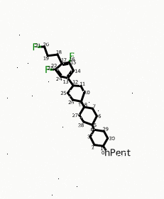 CCCCCC1CCC(C2CCC(C3CCC(c4cc(F)c(CCCF)c(F)c4)CC3)CC2)CC1